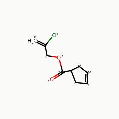 C=C(Cl)COC(=O)C1CC=CC1